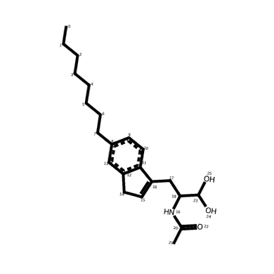 CCCCCCCCc1ccc2c(c1)CC=C2CC(NC(C)=O)C(O)O